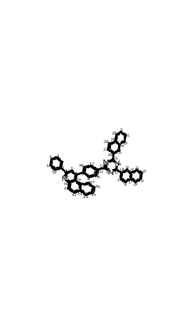 c1ccc(-c2cc(-c3ccc(-c4nc(-c5ccc6ccccc6c5)nc(-c5ccc6ccccc6c5)n4)cc3)c3c(ccc4ccccc43)n2)cc1